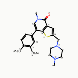 COc1ccc(-c2cn(C)c(=O)c3cc(CN4CCN(C)CC4)sc23)cc1OC